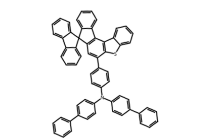 c1ccc(-c2ccc(N(c3ccc(-c4ccccc4)cc3)c3ccc(-c4cc5c(c6c4sc4ccccc46)-c4ccccc4C54c5ccccc5-c5ccccc54)cc3)cc2)cc1